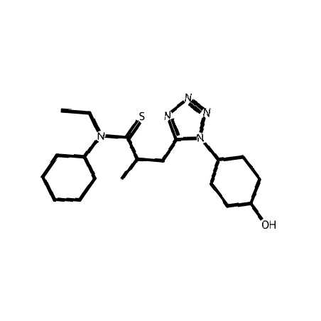 CCN(C(=S)C(C)Cc1nnnn1C1CCC(O)CC1)C1CCCCC1